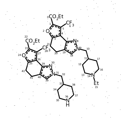 CCOC(=O)c1oc2c(c1C(F)(F)F)-c1nn(CC3CCN(CC)CC3)cc1CC2.CCOC(=O)c1oc2c(c1C(F)(F)F)-c1nn(CC3CCNCC3)cc1CC2